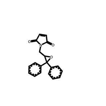 O=C1C=CC(=O)N1CC1OC1(c1ccccc1)c1ccccc1